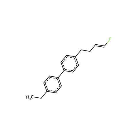 CCc1ccc(-c2ccc(CC/C=C/F)cc2)cc1